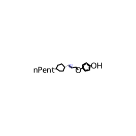 CCCCC[C@H]1CC[C@H](/C=C/COc2ccc(O)cc2)CC1